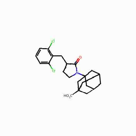 O=C1C(Cc2c(Cl)cccc2Cl)CCN1C12CC3CC(CC(C(=O)O)(C3)C1)C2